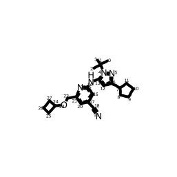 CC(C)(C)n1nc(C2CCCC2)cc1Nc1cc(C#N)cc(COC2CCC2)n1